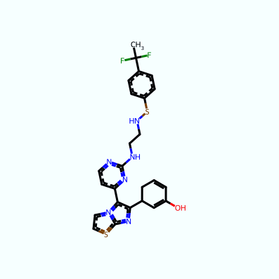 CC(F)(F)c1ccc(SNCCNc2nccc(-c3c(C4C=C(O)C=CC4)nc4sccn34)n2)cc1